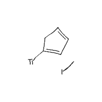 CI.[Ti][C]1=CC=CC1